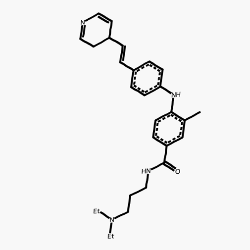 CCN(CC)CCCNC(=O)c1ccc(Nc2ccc(/C=C/C3C=CN=CC3)cc2)c(C)c1